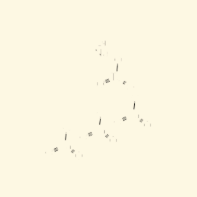 [Bi+3].[Na+].[O]=[Ta](=[O])[O-].[O]=[Ta](=[O])[O-].[O]=[Ta](=[O])[O-].[O]=[Ta](=[O])[O-]